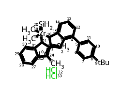 CC1=Cc2c(-c3ccc(C(C)(C)C)cc3)cccc2[CH]1[Zr]([CH3])([CH3])(=[SiH2])[CH]1C(C)=C(C)c2ccccc21.Cl.Cl